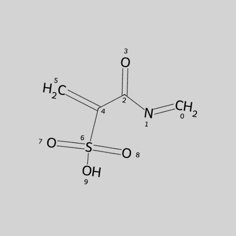 C=NC(=O)C(=C)S(=O)(=O)O